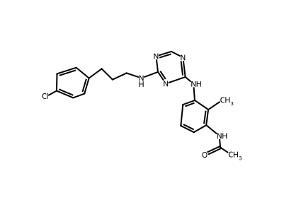 CC(=O)Nc1cccc(Nc2ncnc(NCCCc3ccc(Cl)cc3)n2)c1C